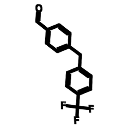 O=Cc1ccc(Cc2ccc(C(F)(F)F)cc2)cc1